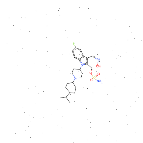 CC(C)C1CCC(N2CCC(n3c(COS(N)(=O)=O)c(/C=N\O)c4cc(F)ccc43)CC2)CC1